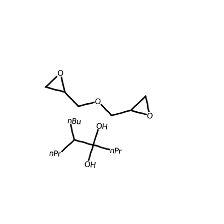 C(OCC1CO1)C1CO1.CCCCC(CCC)C(O)(O)CCC